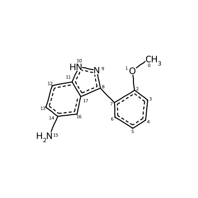 COc1ccccc1-c1n[nH]c2ccc(N)cc12